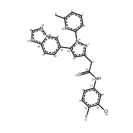 Cc1cccc(-n2nc(CC(=O)Nc3ccc(F)c(Cl)c3)cc2-c2ccc3ncnn3c2)n1